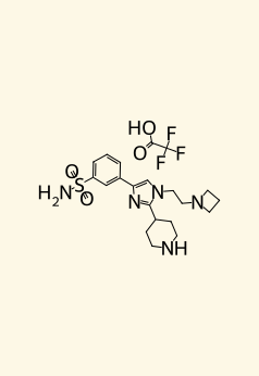 NS(=O)(=O)c1cccc(-c2cn(CCN3CCC3)c(C3CCNCC3)n2)c1.O=C(O)C(F)(F)F